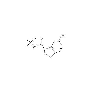 CC(C)(C)OC(=O)N1CCc2ccc(N)cc21